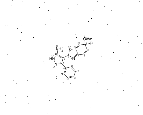 COC1(F)C=CC2=NC(c3c(-c4ccccc4)n[nH]c3N)SC2=C1